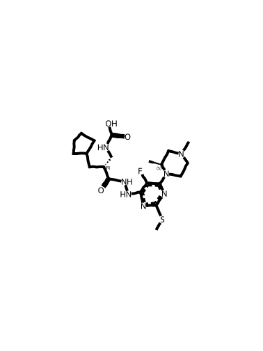 CSc1nc(NNC(=O)[C@@H](CNC(=O)O)CC2CCCC2)c(F)c(N2CCN(C)C[C@@H]2C)n1